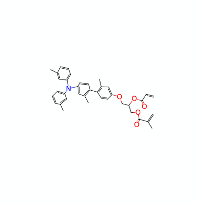 C=CC(=O)OC(COC(=O)C(=C)C)COc1ccc(-c2ccc(N(c3cccc(C)c3)c3cccc(C)c3)cc2C)c(C)c1